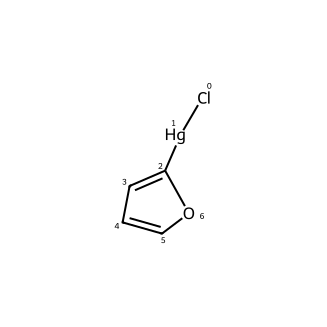 [Cl][Hg][c]1ccco1